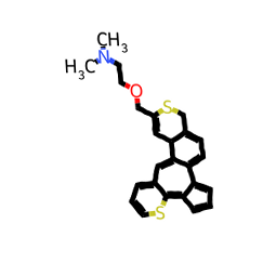 CN(C)CCOCC1=CC2C(=CC=c3c4cccc-4c4c(cc32)=CC=CS4)CS1